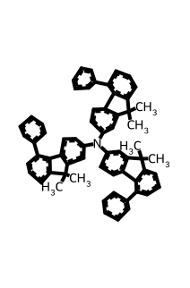 CC1(C)c2cc(N(c3ccc4c(c3)C(C)(C)c3cccc(-c5ccccc5)c3-4)c3ccc4c(c3)C(C)(C)c3cccc(-c5ccccc5)c3-4)ccc2-c2c(-c3ccccc3)cccc21